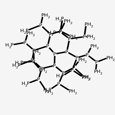 PP(P)P(P)P(P(P)P)P(P(P(P)P)P(P)P)P(P(P(P(P)P)P(P)P)P(P(P)P)P(P)P)P(P(P(P)P)P(P)P)P(P(P)P)P(P)P